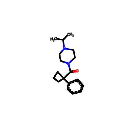 CC(C)N1CCN(C(=O)C2(c3ccccc3)CCC2)CC1